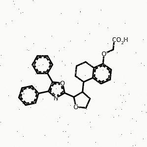 O=C(O)COc1cccc2c1CCCC2C1CCOC1c1nc(-c2ccccc2)c(-c2ccccc2)o1